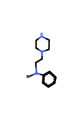 CCN(CCN1CCNCC1)c1ccccc1